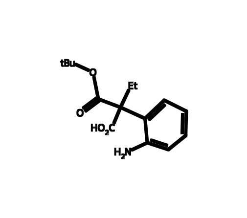 CCC(C(=O)O)(C(=O)OC(C)(C)C)c1ccccc1N